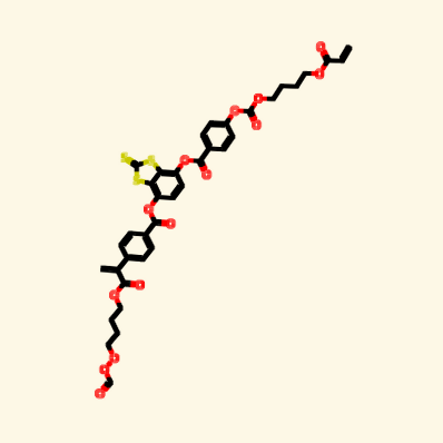 C=CC(=O)OCCCCOC(=O)Oc1ccc(C(=O)Oc2ccc(OC(=O)c3ccc(C(=C)C(=O)OCCCCOOC=O)cc3)c3sc(=S)sc23)cc1